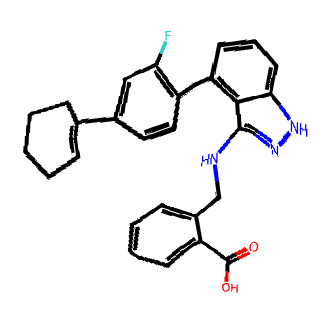 O=C(O)c1ccccc1CNc1n[nH]c2cccc(-c3ccc(C4=CCCCC4)cc3F)c12